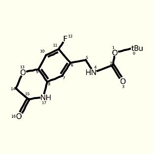 CC(C)(C)OC(=O)NCc1cc2c(cc1F)OCC(=O)N2